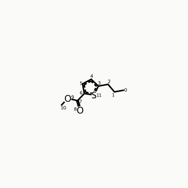 CCCc1ccc(C(=O)OC)s1